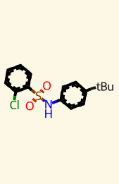 CC(C)(C)c1ccc(NS(=O)(=O)c2ccccc2Cl)cc1